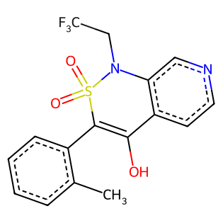 Cc1ccccc1C1=C(O)c2ccncc2N(CC(F)(F)F)S1(=O)=O